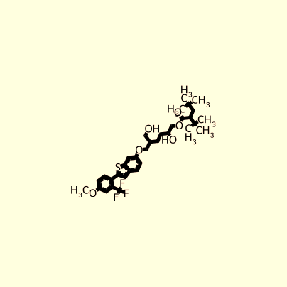 COc1ccc(-c2cc3ccc(OCC(CO)CCC(O)COC(=O)C(CC(C)(C)C)C(C)(C)C)cc3s2)c(C(F)(F)F)c1